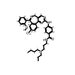 CCCCN(CCC)CCCNC(=O)c1ccc(Nc2ncc3c(n2)-c2ccc(Cl)cc2C(c2ccccc2OC)=NC3)cc1